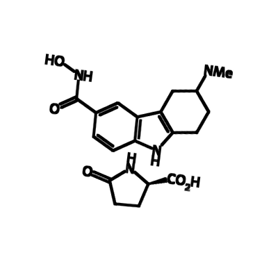 CNC1CCc2[nH]c3ccc(C(=O)NO)cc3c2C1.O=C1CC[C@H](C(=O)O)N1